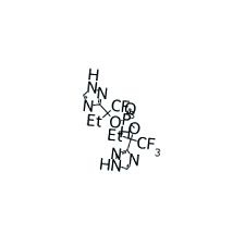 CCC(O[PH](=O)OC(CC)(c1nc[nH]n1)C(F)(F)F)(c1nc[nH]n1)C(F)(F)F